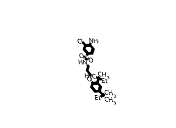 CCC(C)(C)c1ccc(OCCCNS(=O)(=O)c2ccc([NH])c(Cl)c2)c(C(C)(C)CC)c1